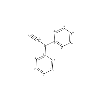 C#[N+]C(c1ccccc1)c1ccccc1